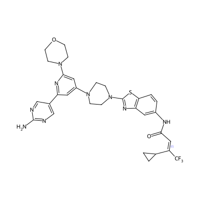 Nc1ncc(-c2cc(N3CCN(c4nc5cc(NC(=O)/C=C(\C6CC6)C(F)(F)F)ccc5s4)CC3)cc(N3CCOCC3)n2)cn1